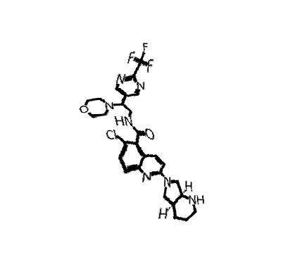 O=C(NCC(c1cnc(C(F)(F)F)nc1)N1CCOCC1)c1c(Cl)ccc2nc(N3C[C@@H]4CCCN[C@@H]4C3)ccc12